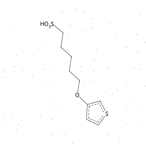 O=S(=O)(O)CCCCCOc1ccsc1